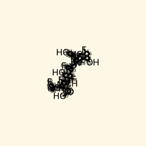 C#Cc1c(F)ccc2cc(O)cc(-c3ncc4c(N5CC6CC(O)CC5C6)nc(OC[C@@]56CCC(c7cc(F)c(C#C)c8c(-c9ncc%10c(N%11CCOCC(CO)C%11)nc(OCC%11%12CCCN%11C[C@H](F)C%12)nc%10c9F)cc(O)cc78)N5C[C@H](F)C6)nc4c3F)c12